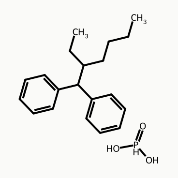 CCCCC(CC)C(c1ccccc1)c1ccccc1.O=[PH](O)O